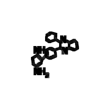 Nc1ccc(N)c(-c2ccc(-c3nc4ccccc4nc3-c3ccccc3)cc2)c1